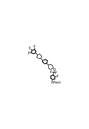 CCCCCc1ccc(C(F)(F)OC2CCC(c3ccc(C4CCC(c5cc(F)c(F)c(F)c5)CC4)cc3)CC2)c(F)c1